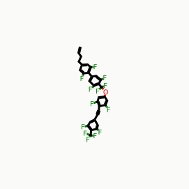 C=CCCc1cc(F)c(-c2cc(F)c(C(F)(F)Oc3cc(F)c(C#Cc4cc(F)c(C(F)(F)F)c(F)c4)c(F)c3)c(F)c2)c(F)c1